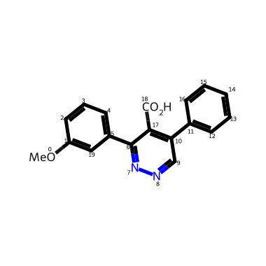 COc1cccc(-c2nncc(-c3ccccc3)c2C(=O)O)c1